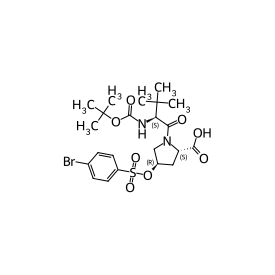 CC(C)(C)OC(=O)N[C@H](C(=O)N1C[C@H](OS(=O)(=O)c2ccc(Br)cc2)C[C@H]1C(=O)O)C(C)(C)C